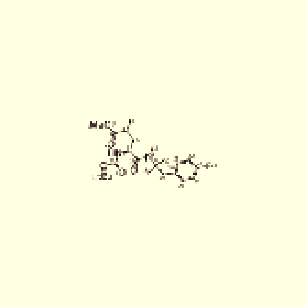 COC(=O)[C@@H](C)C[C@H](NC(=O)OC(C)(C)C)C(=O)N(C)C(C)(C)Cc1ccc(F)cc1